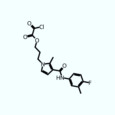 Cc1cc(NC(=O)c2ccn(CCCOC(=O)C(=O)Cl)c2C)ccc1F